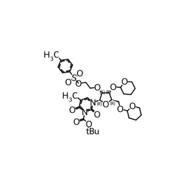 Cc1ccc(S(=O)(=O)OCCO[C@H]2[C@H](OC3CCCCO3)[C@@H](COC3CCCCO3)O[C@H]2n2cc(C)c(=O)n(C(=O)OC(C)(C)C)c2=O)cc1